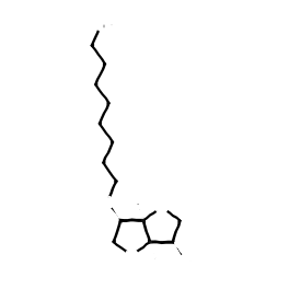 CCCCCCCCCCCCCCCCCCO[C@@H]1CO[C@H]2[C@@H]1OC[C@H]2O